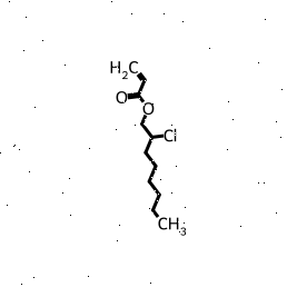 C=CC(=O)OCC(Cl)CCCCCC